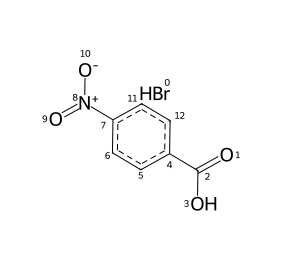 Br.O=C(O)c1ccc([N+](=O)[O-])cc1